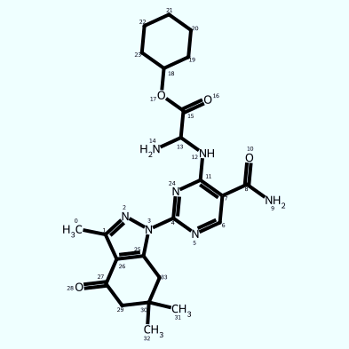 Cc1nn(-c2ncc(C(N)=O)c(NC(N)C(=O)OC3CCCCC3)n2)c2c1C(=O)CC(C)(C)C2